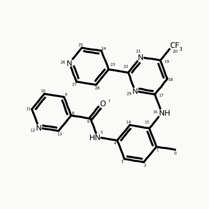 Cc1ccc(NC(=O)c2cccnc2)cc1Nc1cc(C(F)(F)F)nc(-c2ccncc2)n1